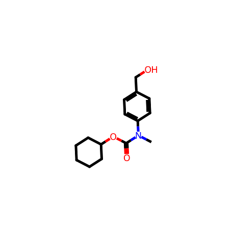 CN(C(=O)OC1CCCCC1)c1ccc(CO)cc1